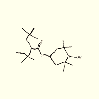 CC(C)(C)CC(C(=O)OC1CC(C)(C)N(O)C(C)(C)C1)C(C)(C)C